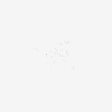 NC(=O)c1cnc(N2CCCC(N)C2)nc1Nc1cc(C2CNC2)cc(C(F)(F)F)c1